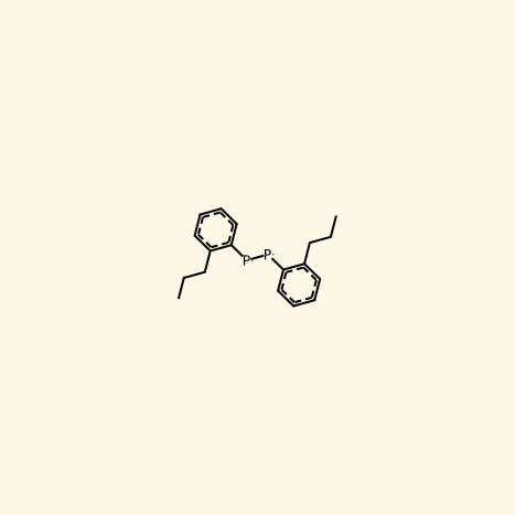 CCCc1ccccc1[P][P]c1ccccc1CCC